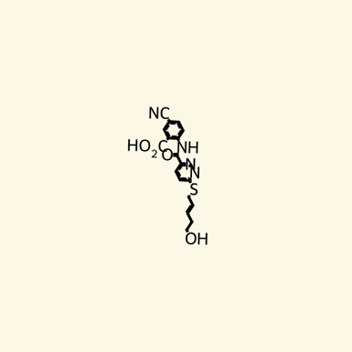 N#Cc1ccc(NC(=O)c2ccc(SCC=CCCO)nn2)c(C(=O)O)c1